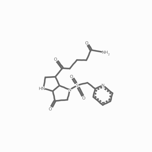 NC(=O)CC[CH]C(=O)C1CNC2C(=O)CN(S(=O)(=O)Cc3ccccn3)C12